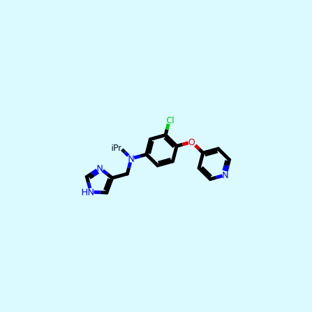 CC(C)N(Cc1c[nH]cn1)c1ccc(Oc2ccncc2)c(Cl)c1